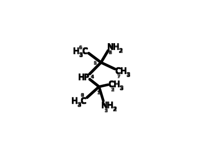 CC(C)(N)PC(C)(C)N